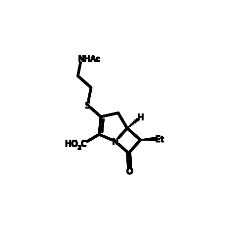 CC[C@H]1C(=O)N2C(C(=O)O)=C(SCCNC(C)=O)C[C@@H]12